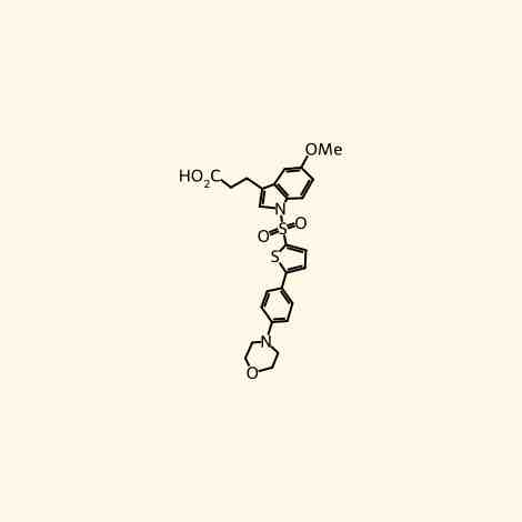 COc1ccc2c(c1)c(CCC(=O)O)cn2S(=O)(=O)c1ccc(-c2ccc(N3CCOCC3)cc2)s1